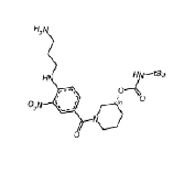 CC(C)(C)NC(=O)O[C@@H]1CCCN(C(=O)c2ccc(NCCCN)c([N+](=O)[O-])c2)C1